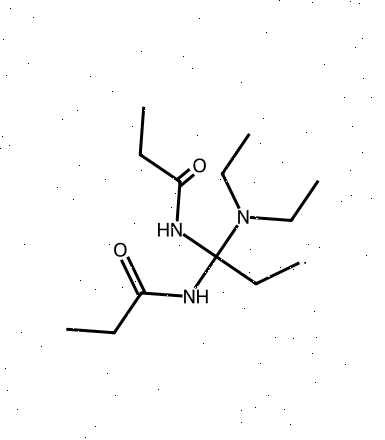 [CH2]CC(NC(=O)CC)(NC(=O)CC)N(CC)CC